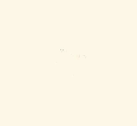 O=C(O)O.[MgH2].[Zr]